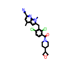 Cc1cc(C#N)nc2c1cc(Cc1c(Cl)ccc(C(=O)N3CCC(C4COC4)CC3)c1Cl)n2C